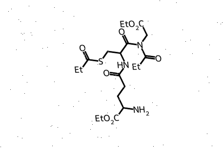 CCOC(=O)CN(C(=O)CC)C(=O)C(CSC(=O)CC)NC(=O)CCC(N)C(=O)OCC